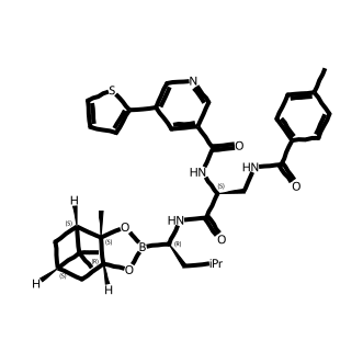 Cc1ccc(C(=O)NC[C@H](NC(=O)c2cncc(-c3cccs3)c2)C(=O)N[C@@H](CC(C)C)B2O[C@@H]3C[C@@H]4C[C@@H](C4(C)C)[C@]3(C)O2)cc1